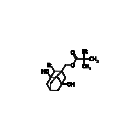 CCC1C2(O)CC3CC(O)(C2)CC1(COC(=O)C(C)(C)CC)C3